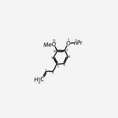 [CH2]CCOc1ccc(CC=C)cc1OC